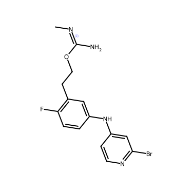 C/N=C(/N)OCCc1cc(Nc2ccnc(Br)c2)ccc1F